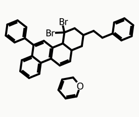 BrC1(Br)CC(CCc2ccccc2)CC2C=Cc3c(cc(-c4ccccc4)c4ccccc34)C21.C1=CCOC=C1